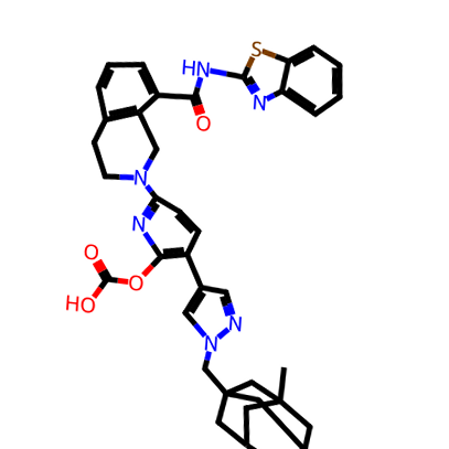 CC12CC3CC(C)(C1)CC(Cn1cc(-c4ccc(N5CCc6cccc(C(=O)Nc7nc8ccccc8s7)c6C5)nc4OC(=O)O)cn1)(C3)C2